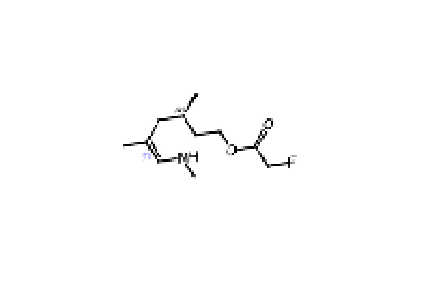 CN/C=C(/C)C[C@@H](C)CCOC(=O)CF